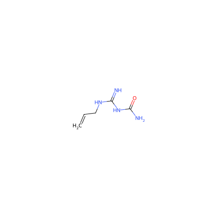 C=CCNC(=N)NC(N)=O